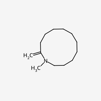 C=C1CCCCCCCCCCN1C